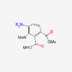 CNc1c(N)ccc(C(=O)OC)c1C(=O)OC